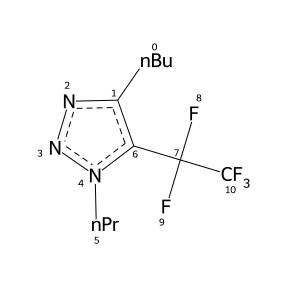 CCCCc1nnn(CCC)c1C(F)(F)C(F)(F)F